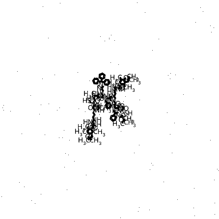 CC(=O)N[C@@H](CCCNC(=N)NS(=O)(=O)c1c(C)c(C)c2c(c1C)CC(C)(C)O2)C(=O)N[C@@H](CS)C(=O)N[C@H](C)C(=O)N[C@@H](Cc1cn(C(c2ccccc2)(c2ccccc2)c2ccccc2)cn1)C(=O)N[C@H](Cc1ccccc1)C(=O)N[C@@H](CCCNC(=N)NS(=O)(=O)c1c(C)c(C)c2c(c1C)CC(C)(C)O2)C(=O)N[C@@H](Cc1cn(C(=O)OC(C)(C)C)c2ccccc12)C(=O)N[C@@H](CS)C(=O)O